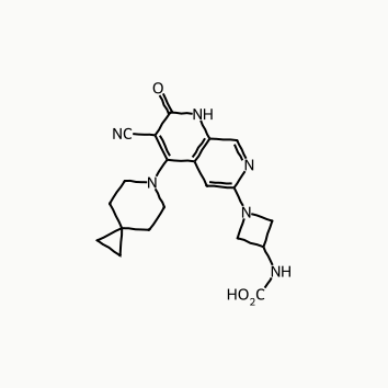 N#Cc1c(N2CCC3(CC2)CC3)c2cc(N3CC(NC(=O)O)C3)ncc2[nH]c1=O